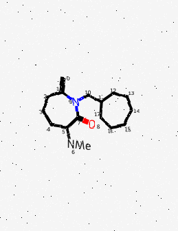 C=C1CCCC(NC)C(=O)N1CC1CCCCCC1